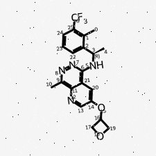 Cc1c([C@@H](C)Nc2nnc(C)c3ncc(OC4COC4)cc23)cccc1C(F)(F)F